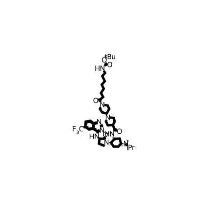 CC(C)N(C)[C@@H]1CC[C@H](N2CC[C@H](Nc3ncnc4ccc(C(F)(F)F)cc34)C2=O)[C@H](NC(=O)C2CCN(C3CCN(C(=O)CCCCCCCNC(=O)OC(C)(C)C)CC3)CC2)C1